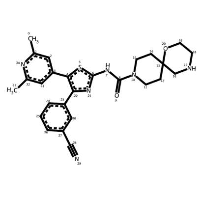 Cc1cc(-c2sc(NC(=O)N3CCC4(CC3)CNCCO4)nc2-c2cccc(C#N)c2)cc(C)n1